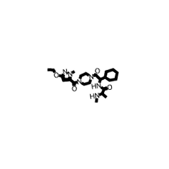 CCOc1cc(C(=O)N2CCN(C(=O)C(NC(=O)C(C)NC)C3CCCCC3)CC2)n(C)n1